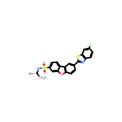 CC(C)[C@H](NS(=O)(=O)c1ccc2c(c1)oc1ccc(-c3nc4ccc(F)cc4s3)cc12)C(=O)O